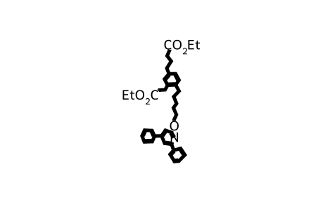 CCOC(=O)CCCCc1ccc(CCCCCCOc2cc(-c3ccccc3)cc(-c3ccccc3)n2)c(CCC(=O)OCC)c1